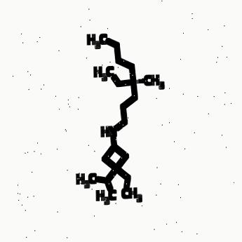 CCCC[C@](C)(CC)CCCNC1CC(CC)(C(C)C)C1